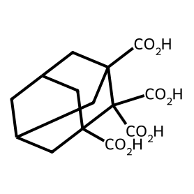 O=C(O)C12CC3CC(C1)CC(C(=O)O)(C3)C2(C(=O)O)C(=O)O